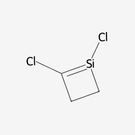 ClC1=[Si](Cl)CC1